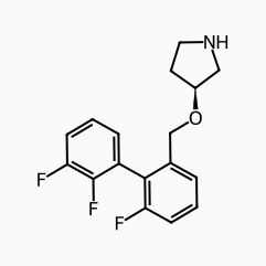 Fc1cccc(-c2c(F)cccc2CO[C@H]2CCNC2)c1F